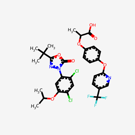 CC(C)Oc1cc(-n2nc(C(C)(C)C)oc2=O)c(Cl)cc1Cl.CC(Oc1ccc(Oc2ccc(C(F)(F)F)cn2)cc1)C(=O)O